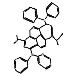 CC(C)C1=CC(N(c2ccccc2)c2ccccc2)C2=CCc3c(C(C)C)cc(N(c4ccccc4)c4ccccn4)c4ccc1c2c34